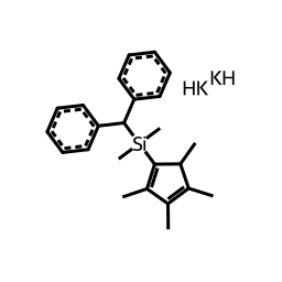 CC1=C(C)C(C)C([Si](C)(C)C(c2ccccc2)c2ccccc2)=C1C.[KH].[KH]